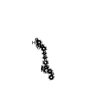 Nc1ncnc2c1c(-c1ccc(Oc3ccccc3)cc1)nn2C1CCN(C2CN(C3CN(c4ccc5c(c4)C(=O)N(C4CCC(=O)NC4=O)C5)C3)C2)CC1